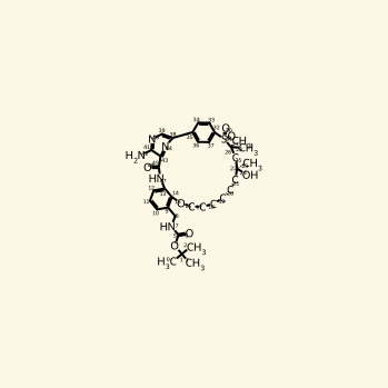 CC(C)(C)OC(=O)NCc1cccc2c1OCCCCCC[C@](C)(O)CC(C)(C)S(=O)(=O)c1ccc(cc1)-c1cnc(N)c(n1)C(=O)N2